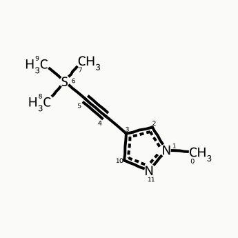 Cn1cc(C#CS(C)(C)C)cn1